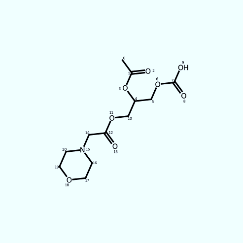 CC(=O)OC(COC(=O)O)COC(=O)CN1CCOCC1